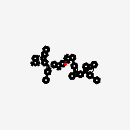 CC1(C)CC(C)(C)c2c(-n3c4ccc(N(c5ccc(-c6ccccc6)cc5)c5ccc6c(c5)C(C)(C)c5ccc(C7(C)C(C)(C)c8cccc(-c9ccc(-n%10c%11ccccc%11c%11ccc(N(c%12ccc(-c%13ccccc%13)cc%12)c%12cccc%13c%12oc%12ccccc%12%13)cc%11%10)cc9)c8C7(C)C)cc5-6)cc4c4cc5ccccc5cc43)cccc21